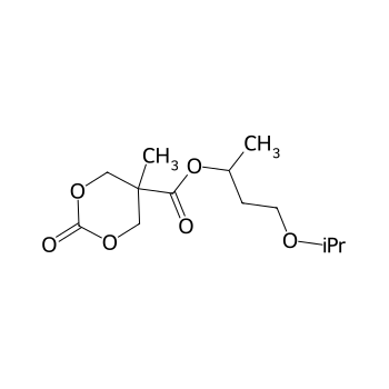 CC(C)OCCC(C)OC(=O)C1(C)COC(=O)OC1